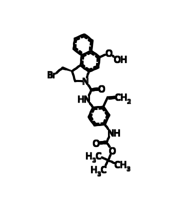 C=Cc1cc(NC(=O)OC(C)(C)C)ccc1NC(=O)N1C[C@@H](CBr)c2c1cc(OO)c1ccccc21